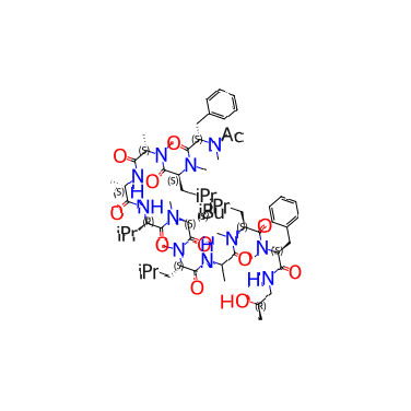 CC[C@H](C)[C@@H](C(=O)N(C)[C@@H](CC(C)C)C(=O)NC(C)C(=O)N(C)[C@@H](CC(C)C)C(=O)N(C)[C@@H](Cc1ccccc1)C(=O)NC[C@@H](C)O)N(C)C(=O)[C@H](NC(=O)[C@H](C)NC(=O)[C@H](C)N(C)C(=O)[C@H](CC(C)C)N(C)C(=O)[C@H](Cc1ccccc1)N(C)C(C)=O)C(C)C